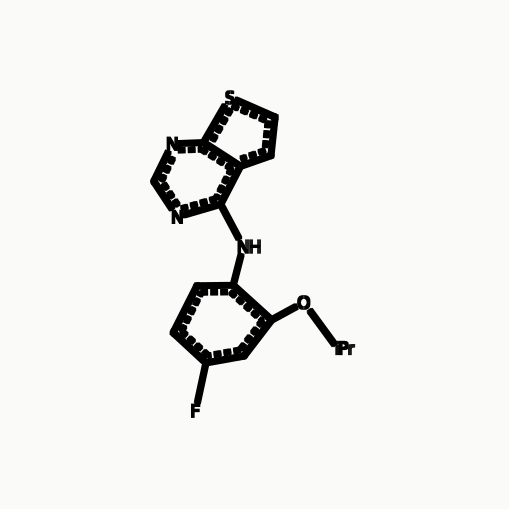 CC(C)Oc1cc(F)ccc1Nc1ncnc2sccc12